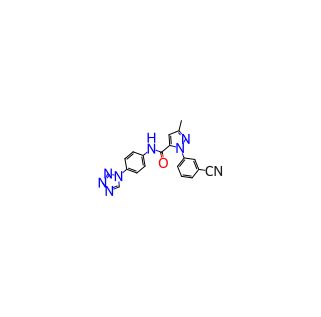 Cc1cc(C(=O)Nc2ccc(-n3cnnn3)cc2)n(-c2cccc(C#N)c2)n1